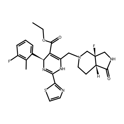 CCOC(=O)C1=C(CN2CC[C@H]3C(=O)NC[C@@]3(F)C2)NC(c2nccs2)=N[C@H]1c1cccc(F)c1C